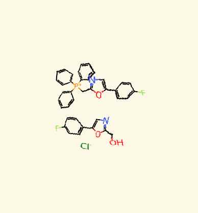 Fc1ccc(-c2cnc(C[P+](c3ccccc3)(c3ccccc3)c3ccccc3)o2)cc1.OCc1ncc(-c2ccc(F)cc2)o1.[Cl-]